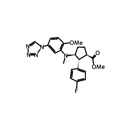 COC(=O)[C@@H]1CC[C@H](N(C)c2cc(-n3cnnn3)ccc2OC)[C@H]1c1ccc(F)cc1